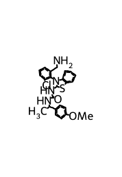 COc1ccc(C(C)NC(=O)NC2Sc3ccccc3N2c2c(Cl)cccc2CN)cc1